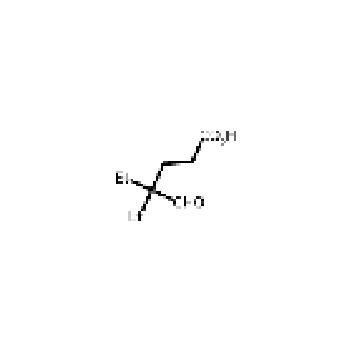 CCC(C=O)(CC)CCC(=O)O